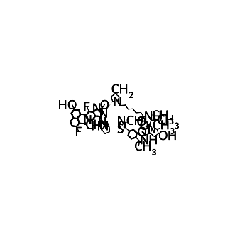 C#Cc1c(F)ccc2cc(O)cc(-c3ncc4c(N5CC6CCC(C5)N6)nc(OC[C@@H]5CC(=C)CN5CCCCCCC(=O)N[C@H](C(=O)N5C[C@H](O)C[C@H]5C(=O)N[C@@H](C)c5ccc(-c6scnc6C)cc5)C(C)(C)C)nc4c3F)c12